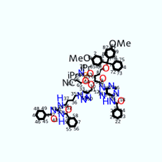 COc1ccc(C(OC[C@H]2O[C@@H](n3cnc4c(NC(=O)c5ccccc5)ncnc43)[C@H](OCc3cn(CCCCN/C(=N/C(=O)c4ccccc4)NC(=O)c4ccccc4)nn3)[C@@H]2OP(OCCC#N)N(C(C)C)C(C)C)(c2ccccc2)c2ccc(OC)cc2)cc1